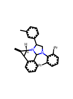 C=C1C2c3ccccc3C3N(c4c(C(C)C)cccc4C(C)C)CC(c4cccc(C)c4)N3[C@@H]12